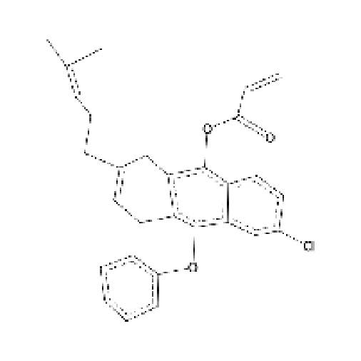 C=CC(=O)Oc1c2c(c(Oc3ccccc3)c3cc(Cl)ccc13)CC=C(CCC=C(C)C)C2